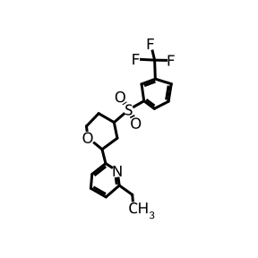 CCc1cccc(C2CC(S(=O)(=O)c3cccc(C(F)(F)F)c3)CCO2)n1